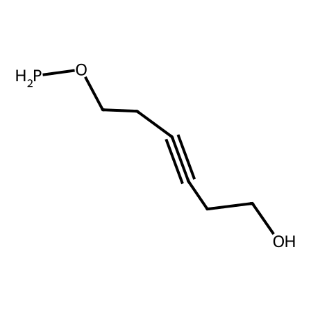 OCCC#CCCOP